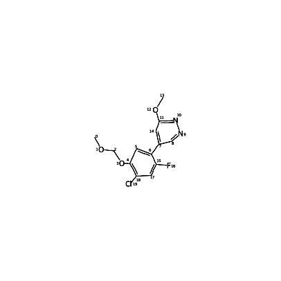 COCOc1cc(-c2cnnc(OC)c2)c(F)cc1Cl